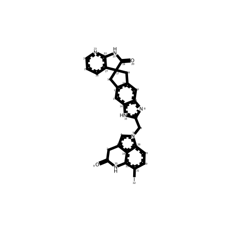 O=C1Cc2cn(Cc3nc4cc5c(cc4[nH]3)CC3(C5)C(=O)Nc4ncccc43)c3ccc(I)c(c23)N1